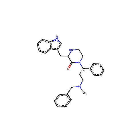 CN(CC[C@@H](c1ccccc1)N1CCNC(Cc2c[nH]c3ccccc23)C1=O)Cc1ccccc1